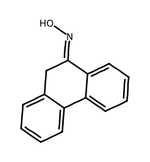 ON=C1Cc2ccccc2-c2ccccc21